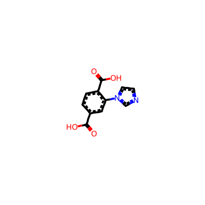 O=C(O)c1ccc(C(=O)O)c(-n2ccnc2)c1